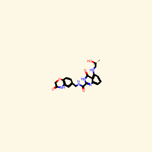 C[C@@H](O)CNc1cccc2nc(C(=O)NCc3ccc4c(c3)NC(=O)CO4)[nH]c(=O)c12